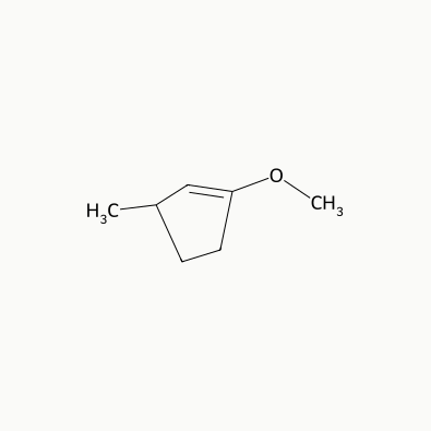 COC1=CC(C)CC1